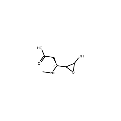 CN[C@@H](CC(=O)O)C1OC1O